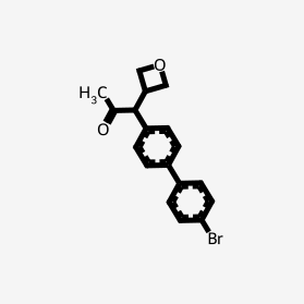 CC(=O)C(c1ccc(-c2ccc(Br)cc2)cc1)C1COC1